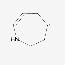 [C]1CC=CNCC1